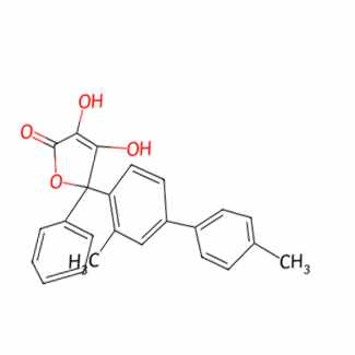 Cc1ccc(-c2ccc(C3(c4ccccc4)OC(=O)C(O)=C3O)c(C)c2)cc1